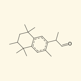 Cc1cc2c(cc1C(C)C=O)C(C)(C)CC(C)C2(C)C